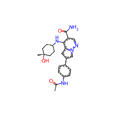 CC(=O)Nc1ccc(-c2cc3c(N[C@H]4CC[C@](C)(O)CC4)c(C(N)=O)cnn3c2)cc1